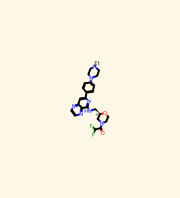 CCN1CCN(c2ccc(-c3cc4nccnc4c(NC[C@@H]4CN(C(=O)C(F)F)CCO4)n3)cc2)CC1